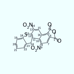 O=C1OC(=O)c2c1cc([N+](=O)[O-])c1c3c(c([N+](=O)[O-])cc21)Sc1ccccc1C3